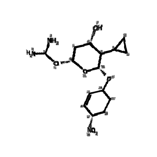 NC(N)O[C@@H]1C[C@H](O)C(C2CC2)[C@H](OC2C=C[C@@H]([N+](=O)[O-])CC2)O1